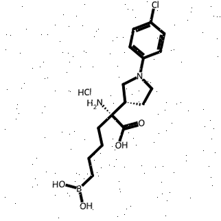 Cl.N[C@@](CCCCB(O)O)(C(=O)O)[C@H]1CCN(c2ccc(Cl)cc2)C1